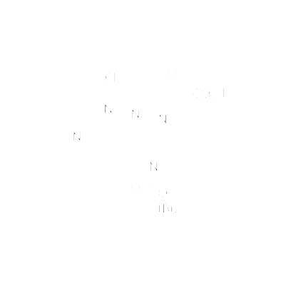 CC(C)(C)OC(=O)N1CCC(n2cc(C(=O)O)c(=O)c3cc(Cl)c(N4Cc5cccnc5C4)nc32)CC1